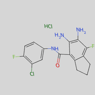 Cl.Nc1c(N)c(C(=O)Nc2ccc(F)c(Cl)c2)c2c(c1F)CCC2